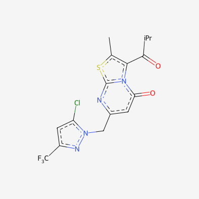 Cc1sc2nc(Cn3nc(C(F)(F)F)cc3Cl)cc(=O)n2c1C(=O)C(C)C